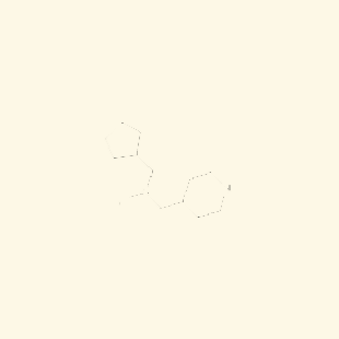 CN(CC1CCCC1)CC1CCNCC1